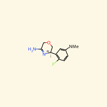 CNc1ccc(F)c([C@]2(C)COCC(N)=N2)c1